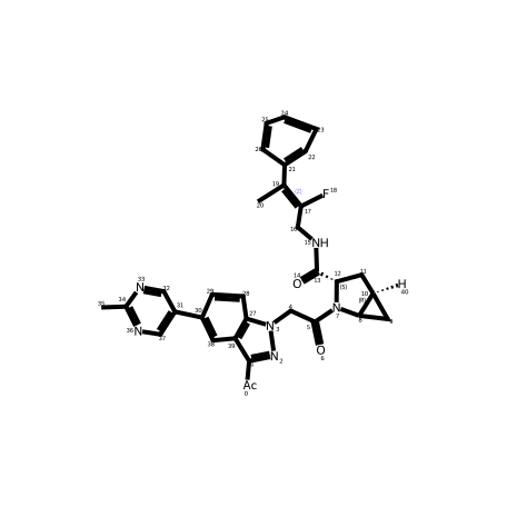 CC(=O)c1nn(CC(=O)N2C3C[C@@H]3C[C@H]2C(=O)NC/C(F)=C(\C)c2ccccc2)c2ccc(-c3cnc(C)nc3)cc12